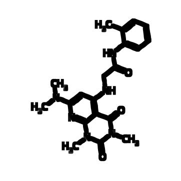 Cc1ccccc1NC(=O)CNc1cc(N(C)C)nc2c1c(=O)n(C)c(=O)n2C